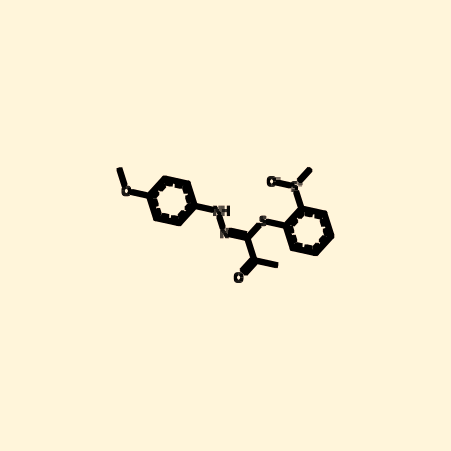 COc1ccc(NN=C(Sc2ccccc2[S+](C)[O-])C(C)=O)cc1